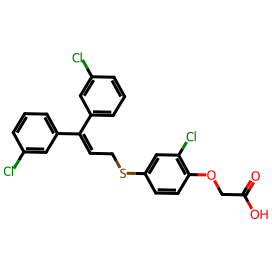 O=C(O)COc1ccc(SCC=C(c2cccc(Cl)c2)c2cccc(Cl)c2)cc1Cl